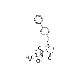 CC(C)(C)OC(=O)N1C(=O)CC/C1=C\Cc1ccc(-c2ccccc2)cc1